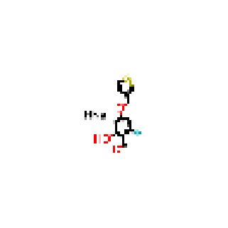 O=Cc1c(O)cc(OCc2ccsc2)cc1F.[NaH]